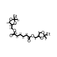 CCC1(C)OCC(COC(=O)CCCCC(=O)OCC2COC(C)(CC)O2)O1